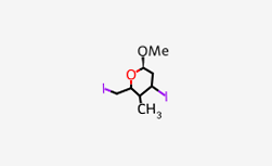 CO[C@H]1CC(I)C(C)C(CI)O1